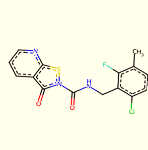 Cc1ccc(Cl)c(CNC(=O)n2sc3ncccc3c2=O)c1F